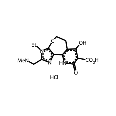 CCn1c(CNC)nc2c1CCCc1c-2[nH]c(=O)c(C(=O)O)c1O.Cl